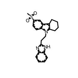 CS(=O)(=O)c1ccc2c(c1)c1c(n2CCc2nc3ccccc3[nH]2)CCCC1